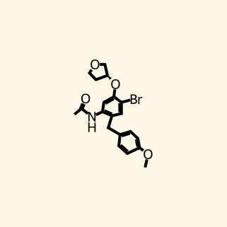 COc1ccc(Cc2cc(Br)c(O[C@H]3CCOC3)cc2NC(C)=O)cc1